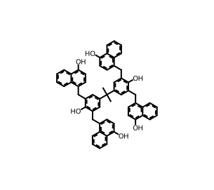 CC(C)(c1cc(Cc2ccc(O)c3ccccc23)c(O)c(Cc2ccc(O)c3ccccc23)c1)c1cc(Cc2ccc(O)c3ccccc23)c(O)c(Cc2ccc(O)c3ccccc23)c1